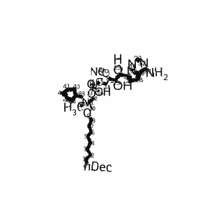 CCCCCCCCCCCCCCCCCCOC[C@H](COP(=O)(O)OC[C@@H](OC#N)[C@@H](O)[C@@H](O)c1ccc2c(N)ncnn12)N(C)Cc1ccccc1